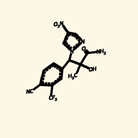 CC(O)(C(N)=O)C(c1ccc(C#N)c(C(F)(F)F)c1)n1cc([N+](=O)[O-])cn1